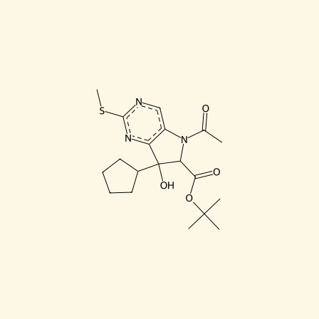 CSc1ncc2c(n1)C(O)(C1CCCC1)C(C(=O)OC(C)(C)C)N2C(C)=O